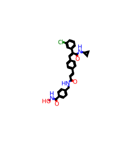 O=C(C=Cc1ccc(C=C(C(=O)NC2CC2)c2cccc(Cl)c2)cc1)NCc1ccc(C(=O)NO)cc1